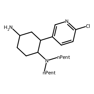 CCCCCN(CCCCC)C1CCC(N)CC1c1ccc(Cl)nc1